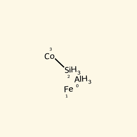 [AlH3].[Fe].[SiH3][Co]